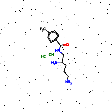 Cl.Cl.NCCC[C@H](N)CNC(=O)c1ccc(C(F)(F)F)cc1